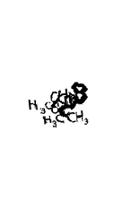 CCC(C)NC(Cc1ccc2ccccc2n1)C(=O)C(C)C